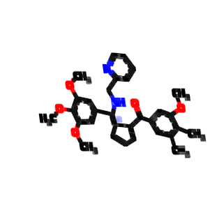 COc1cc(C(=O)C2=CC=C/C2=C(/NCc2ccccn2)c2cc(OC)c(OC)c(OC)c2)cc(C)c1C